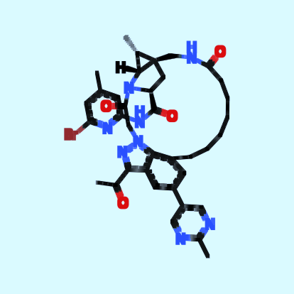 CC(=O)c1nn2c3c(cc(-c4cnc(C)nc4)cc13)CCCCCCC(=O)NC[C@@]13C[C@@H](C(=O)Nc4cc(C)cc(Br)n4)N(C(=O)C2)[C@@H]1[C@@H]3C